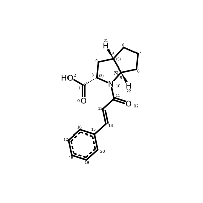 O=C(O)[C@@H]1C[C@@H]2CCC[C@@H]2N1C(=O)C=Cc1ccccc1